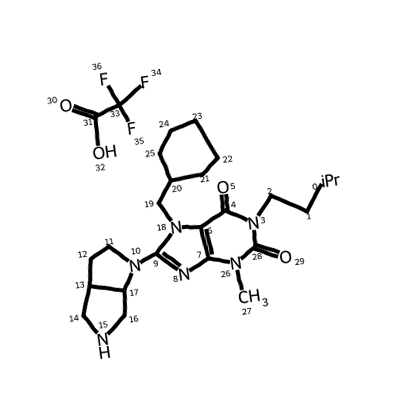 CC(C)CCn1c(=O)c2c(nc(N3CCC4CNCC43)n2CC2CCCCC2)n(C)c1=O.O=C(O)C(F)(F)F